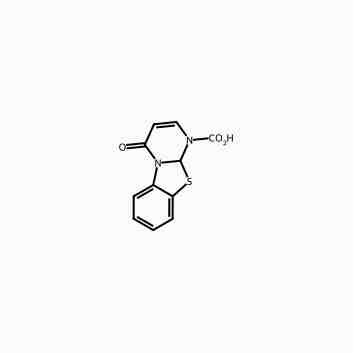 O=C(O)N1C=CC(=O)N2c3ccccc3SC12